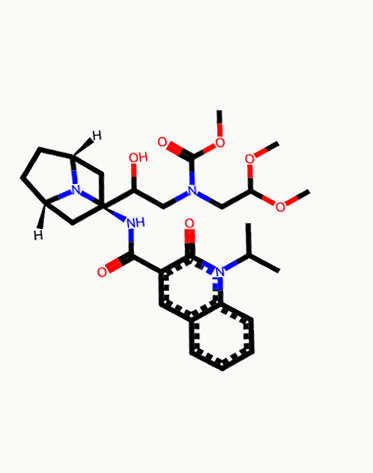 COC(=O)N(CC(O)CN1[C@@H]2CC[C@H]1C[C@H](NC(=O)c1cc3ccccc3n(C(C)C)c1=O)C2)CC(OC)OC